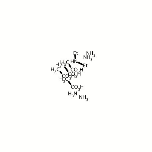 CC(=O)O.CC(=O)O.CC(=O)O.CC(=O)O.CCNCC.N.N.N.N